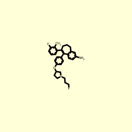 Cc1c(F)cccc1C1=C(c2ccc(OC3CCN(CCCF)C3)cc2)c2ccc(N)cc2CCC1